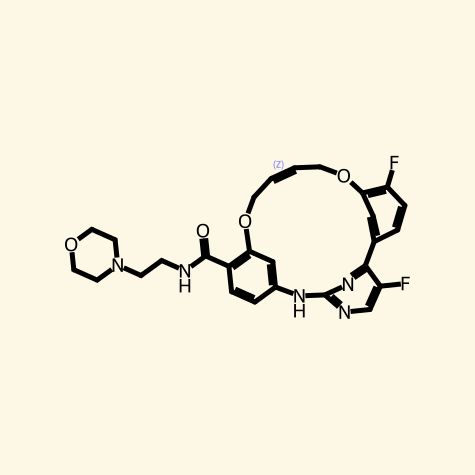 O=C(NCCN1CCOCC1)c1ccc2cc1OC/C=C\COc1cc(ccc1F)-c1nc(ncc1F)N2